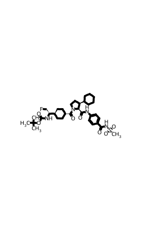 CC(C)(C)OC(=O)N[C@H](CF)[C@H]1CC[C@H](C(=O)N2CC[C@@H](C3CCCCC3)[C@H]2C(=O)Nc2ccc(C(=O)NS(C)(=O)=O)cc2)CC1